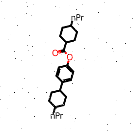 CCCC1CCC(C(=O)Oc2ccc(C3CCC(CCC)CC3)cc2)CC1